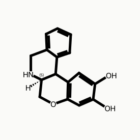 Oc1cc2c(cc1O)C1c3ccccc3CN[C@@H]1CO2